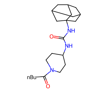 CCCCC(=O)N1CCC(NC(=O)NC23CC4CC(CC(C4)C2)C3)CC1